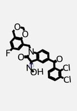 O=C(c1ccc2c(c1)/C(=N\O)C(=O)N2Cc1cc(F)cc2c1OCOC2)c1cccc(Cl)c1Cl